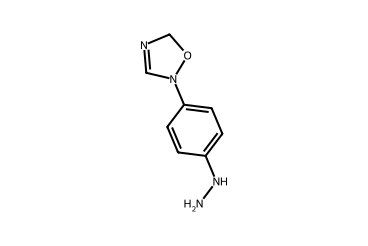 NNc1ccc(N2C=NCO2)cc1